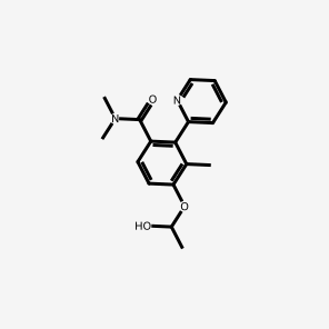 Cc1c(OC(C)O)ccc(C(=O)N(C)C)c1-c1ccccn1